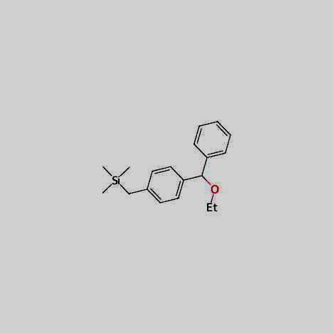 CCOC(c1ccccc1)c1ccc(C[Si](C)(C)C)cc1